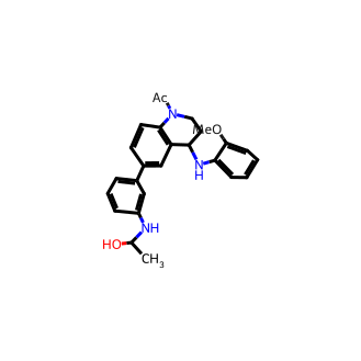 COc1ccccc1NC1CCN(C(C)=O)c2ccc(-c3cccc(NC(C)O)c3)cc21